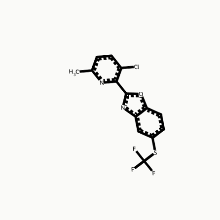 Cc1ccc(Cl)c(-c2nc3cc(SC(F)(F)F)ccc3o2)n1